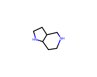 C1CC2NCC[C]2CN1